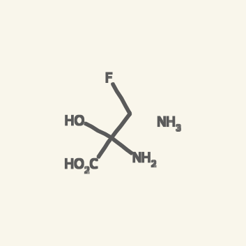 N.NC(O)(CF)C(=O)O